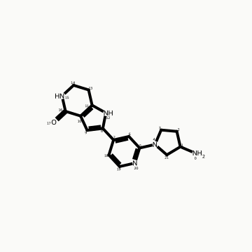 NC1CCN(c2cc(-c3cc4c([nH]3)CCNC4=O)ccn2)C1